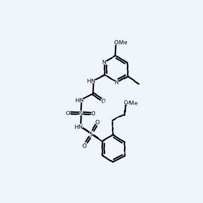 COCCc1ccccc1S(=O)(=O)NS(=O)(=O)NC(=O)Nc1nc(C)cc(OC)n1